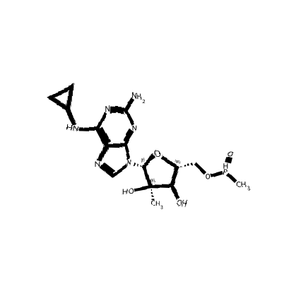 C[PH](=O)OC[C@H]1O[C@@H](n2cnc3c(NC4CC4)nc(N)nc32)[C@](C)(O)C1O